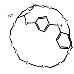 Cl.c1ccc(Nc2ccc(OC3CN4CCCCCCCCCCCCCCCCCCCCCC3CC4)cc2)cc1